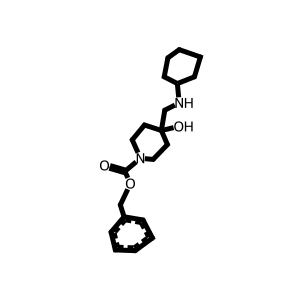 O=C(OCc1ccccc1)N1CCC(O)(CNC2CCCCC2)CC1